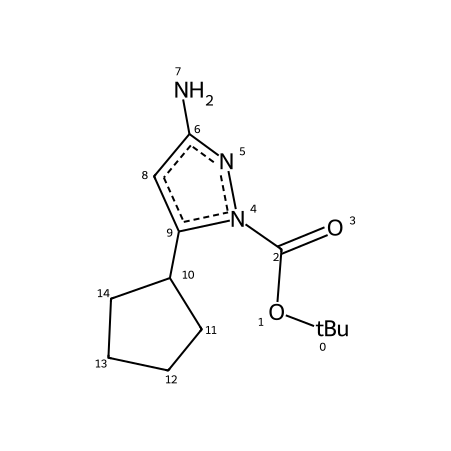 CC(C)(C)OC(=O)n1nc(N)cc1C1CCCC1